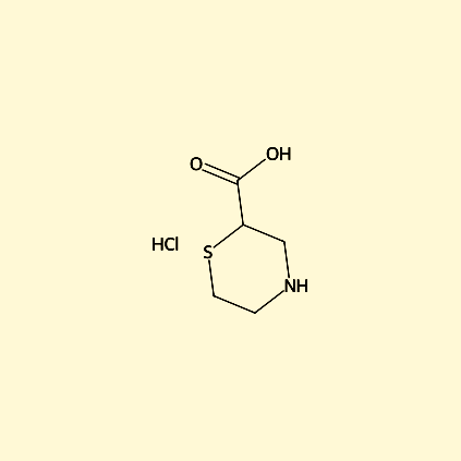 Cl.O=C(O)C1CNCCS1